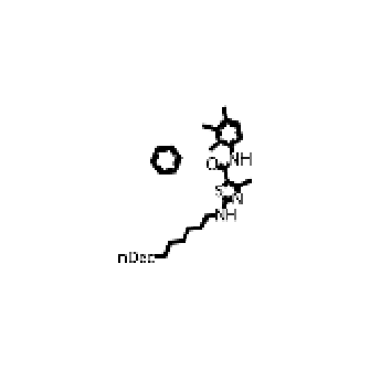 CCCCCCCCCCCCCCCCNc1nc(C)c(C(=O)Nc2ccc(C)c(C)c2C)s1.c1ccccc1